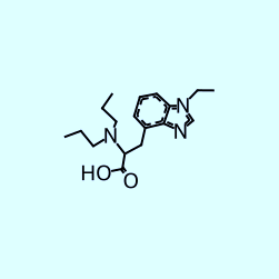 CCCN(CCC)C(Cc1cccc2c1ncn2CC)C(=O)O